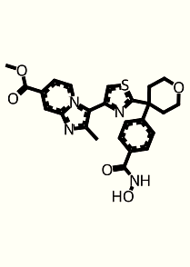 COC(=O)c1ccn2c(-c3csc(C4(c5ccc(C(=O)NO)cc5)CCOCC4)n3)c(C)nc2c1